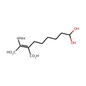 CCCCCCC(C(=O)O)=C(CCCCCC(O)O)C(=O)O